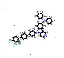 Fc1ccc(-c2ccc(-c3ccc(-n4c5ccncc5c5cc(N(c6ccccc6)c6ccccc6)ccc54)cc3)cc2)c(F)c1F